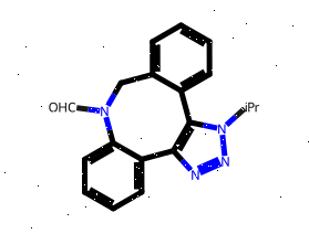 CC(C)n1nnc2c1-c1ccccc1CN(C=O)c1ccccc1-2